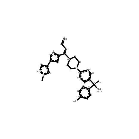 Cn1cc(-c2c[nH]c(/C(=N\C=N)N3CCN(c4ncc([C@](C)(N)c5ccc(F)cc5)cn4)CC3)c2)cn1